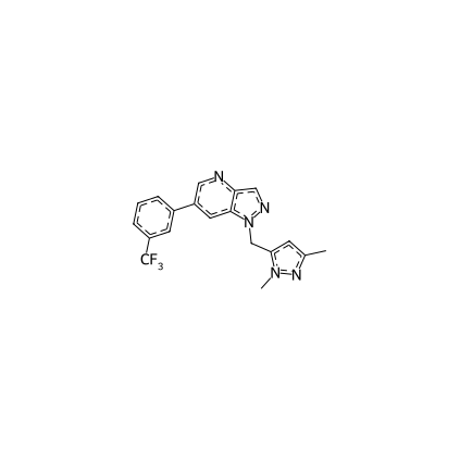 Cc1cc(Cn2ncc3ncc(-c4cccc(C(F)(F)F)c4)cc32)n(C)n1